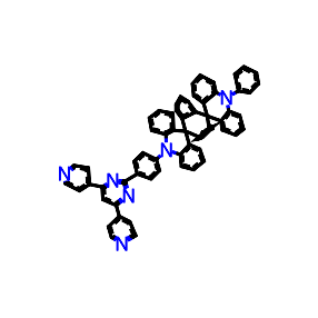 c1ccc(N2c3ccccc3C3(c4ccccc42)c2ccccc2C2(c4ccccc4N(c4ccc(-c5nc(-c6ccncc6)cc(-c6ccncc6)n5)cc4)c4ccccc42)c2ccccc23)cc1